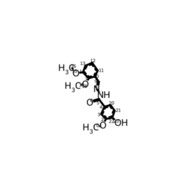 COc1cc(C(=O)NN=Cc2cccc(OC)c2OC)ccc1O